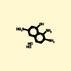 Cl.Cl.Nc1ccc2cc(S(=O)(=O)O)cc(O)c2c1N